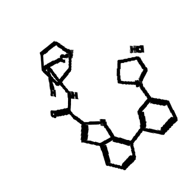 Cl.O=C(N[C@H]1CN2CCC1CC2)c1cc2cccc(-c3cccc(N4CCCC4)c3)c2s1